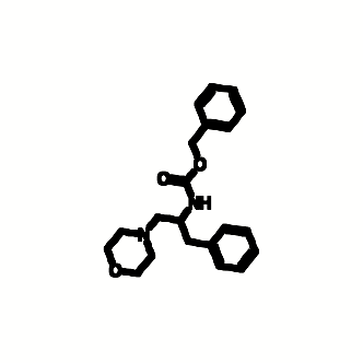 O=C(NC(Cc1ccccc1)CN1CCOCC1)OCc1ccccc1